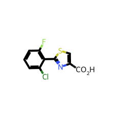 O=C(O)c1csc(-c2c(F)cccc2Cl)n1